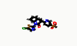 CS(=O)(=O)c1ccc(C(=CC2CCCC2)C(=O)Nc2ncc(Cl)s2)nc1